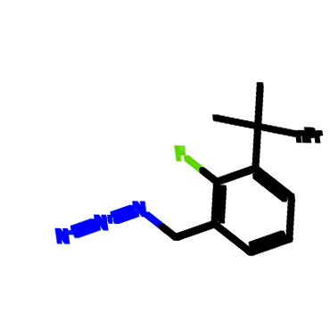 CCCC(C)(C)c1cccc(CN=[N+]=[N-])c1F